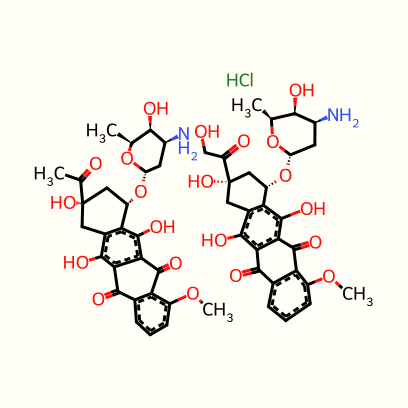 COc1cccc2c1C(=O)c1c(O)c3c(c(O)c1C2=O)C[C@@](O)(C(=O)CO)C[C@@H]3O[C@H]1C[C@H](N)[C@H](O)[C@H](C)O1.COc1cccc2c1C(=O)c1c(O)c3c(c(O)c1C2=O)C[C@@](O)(C(C)=O)C[C@@H]3O[C@H]1C[C@H](N)[C@H](O)[C@H](C)O1.Cl